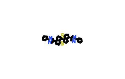 c1ccc(-c2ncc(-c3ccc4sc5ccc6c(-c7cnc(-c8ccccc8)nc7)ccc7sc8ccc3c4c8-c5c76)cn2)cc1